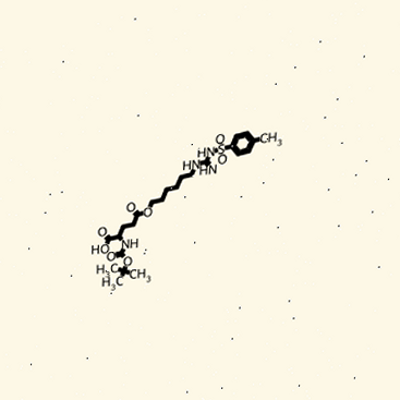 Cc1ccc(S(=O)(=O)NC(=N)NCCCCCCOC(=O)CCC(NC(=O)OC(C)(C)C)C(=O)O)cc1